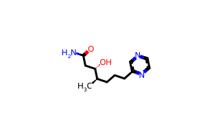 C[C@H](CCCc1cnccn1)[C@@H](O)CC(N)=O